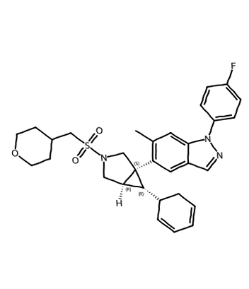 Cc1cc2c(cnn2-c2ccc(F)cc2)cc1[C@@]12CN(S(=O)(=O)CC3CCOCC3)C[C@@H]1[C@H]2C1C=CC=CC1